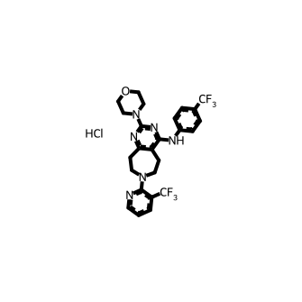 Cl.FC(F)(F)c1ccc(Nc2nc(N3CCOCC3)nc3c2CCN(c2ncccc2C(F)(F)F)CC3)cc1